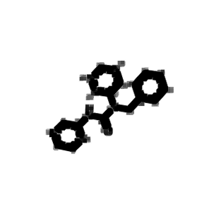 O=C(Nc1cnccn1)N(Cc1ccccc1)c1cncnn1